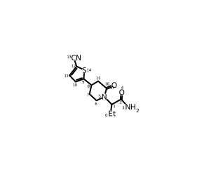 CCC(C(N)=O)N1CCC(c2ccc(C#N)s2)CC1=O